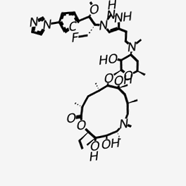 CC[C@H]1OC(=O)[C@H](C)C[C@H](C)[C@@H](O[C@@H]2O[C@H](C)C[C@H](N(C)CCC3=CN([C@H](CF)[C@H](OC)c4ccc(-n5ccnc5)cc4)NN3)C2O)[C@](C)(O)C[C@@H](C)CN(C)[C@H](C)[C@@H](O)[C@]1(C)O